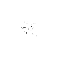 CC(C)CCC(C(=O)O)C(C#N)(C(=O)O)C(C)C